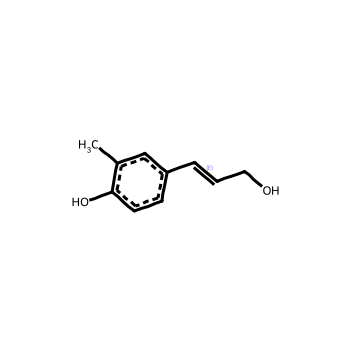 Cc1cc(/C=C/CO)ccc1O